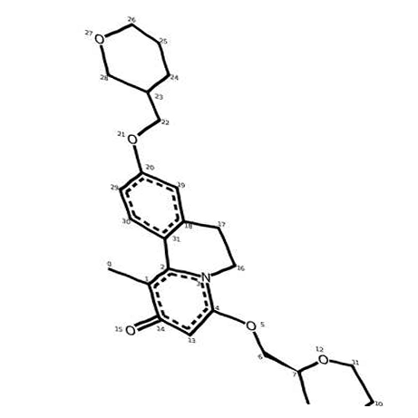 Cc1c2n(c(OC[C@@H]3COCCO3)cc1=O)CCc1cc(OCC3CCCOC3)ccc1-2